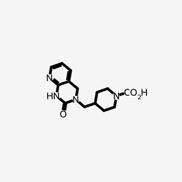 O=C(O)N1CCC(CN2Cc3cccnc3NC2=O)CC1